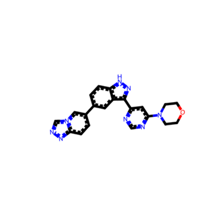 c1nc(-c2n[nH]c3ccc(-c4ccc5nncn5c4)cc23)cc(N2CCOCC2)n1